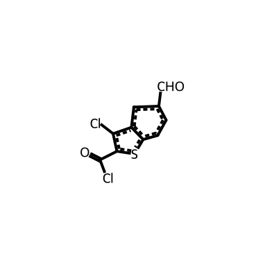 O=Cc1ccc2sc(C(=O)Cl)c(Cl)c2c1